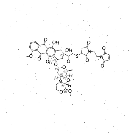 COc1cccc2c1C(=O)c1c(O)c3c(c(O)c1C2=O)C[C@@](O)(C(=O)CSC1CC(=O)N(CCN2C(=O)C=CC2=O)C1=O)C[C@@H]3O[C@H]1C[C@H]2[C@H](O[C@@H]3[C@@H](OC)OCCN32)[C@H](C)O1